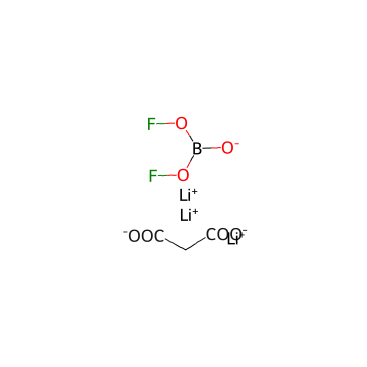 O=C([O-])CC(=O)[O-].[Li+].[Li+].[Li+].[O-]B(OF)OF